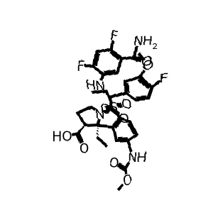 CC[C@]1(c2cc(NC(=O)OC)ccc2S(=O)(=O)CC)[C@@H](C(=O)O)CCN1C(=O)[C@H](Nc1cc(C(N)=O)c(F)cc1F)c1ccc(F)c(OC)c1